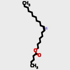 CCCCCCCCCC/C=C\CCCCCCOC(=O)CCCC